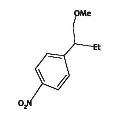 CCC(COC)c1ccc([N+](=O)[O-])cc1